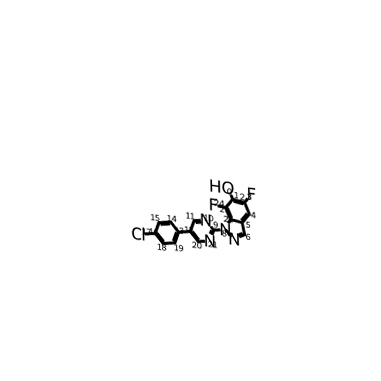 Oc1c(F)cc2cnn(-c3ncc(-c4ccc(Cl)cc4)cn3)c2c1F